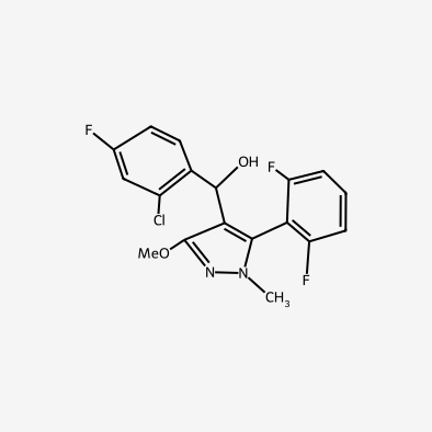 COc1nn(C)c(-c2c(F)cccc2F)c1C(O)c1ccc(F)cc1Cl